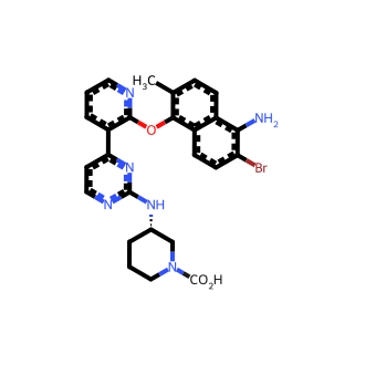 Cc1ccc2c(N)c(Br)ccc2c1Oc1ncccc1-c1ccnc(N[C@H]2CCCN(C(=O)O)C2)n1